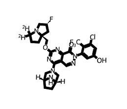 [2H]C1([2H])CC[C@@]2(COc3nc(N4C[C@H]5CC[C@@H](C4)N5)c4cnn(-c5cc(O)cc(Cl)c5C(F)(F)F)c(=O)c4n3)C[C@@H](F)CN12